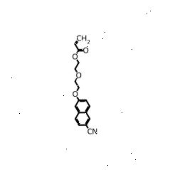 C=CC(=O)OCCOCCOc1ccc2cc(C#N)ccc2c1